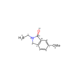 BCN1Cc2ccc(OC)cc2C1=O